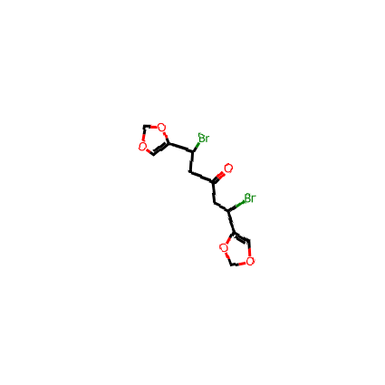 O=C(CC(Br)C1=COCO1)CC(Br)C1=COCO1